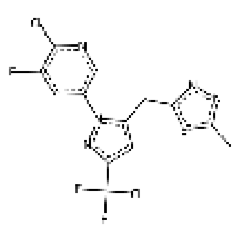 Cc1nnc(Cc2cc(C(F)(F)Cl)nn2-c2cnc(Cl)c(F)c2)s1